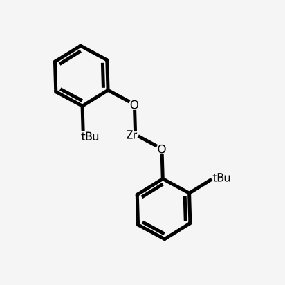 CC(C)(C)c1ccccc1[O][Zr][O]c1ccccc1C(C)(C)C